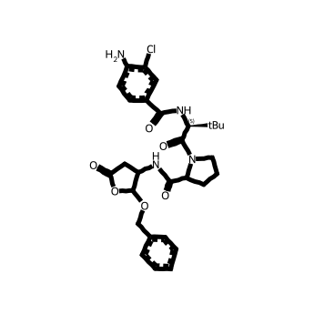 CC(C)(C)[C@H](NC(=O)c1ccc(N)c(Cl)c1)C(=O)N1CCCC1C(=O)NC1CC(=O)OC1OCc1ccccc1